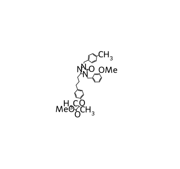 COC(=O)C(C)(C)Oc1ccc(CCCc2nn(Cc3ccc(C)cc3)c(=O)n2Cc2cccc(OC)c2)cc1